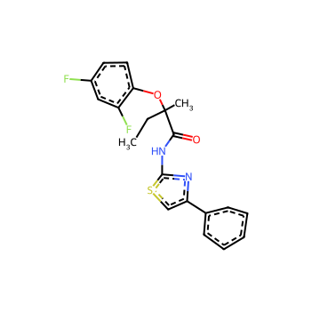 CCC(C)(Oc1ccc(F)cc1F)C(=O)Nc1nc(-c2ccccc2)cs1